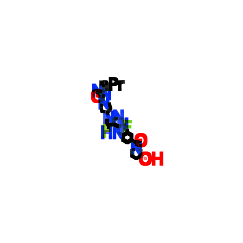 CCCc1noc(N2CCC(n3cc(F)c4c(Nc5ccc(C(=O)N6CCC[C@@H](O)C6)cc5F)ncnc43)CC2)n1